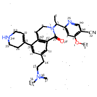 CCOc1cc(C(C)N2CCc3c(cc(CCN(C)CC)cc3C3=CCNCC3)C2=O)ncc1C#N